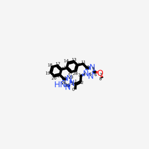 CC=CCn1nc(OC)nc1Cc1ccc(-c2ccccc2-c2nnn[nH]2)cc1